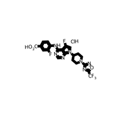 Cl.O=C(O)c1ccc(Nc2ncnc3c2c(F)cn3C2CCN(c3noc(C(F)(F)F)n3)CC2)c(F)c1